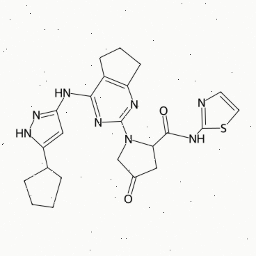 O=C1CC(C(=O)Nc2nccs2)N(c2nc3c(c(Nc4cc(C5CCCC5)[nH]n4)n2)CCC3)C1